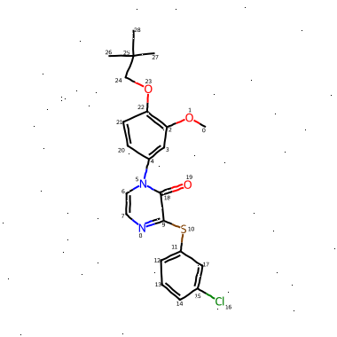 COc1cc(-n2ccnc(Sc3cccc(Cl)c3)c2=O)ccc1OCC(C)(C)C